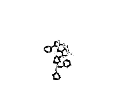 CC[C@@H](c1cccc(N(Cc2ccccc2)Cc2ccccc2)c1)C(C(C)=O)C(=O)N1C(=O)OCC1c1ccccc1